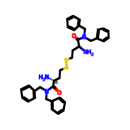 NC(CCSSCC[C@@H](N)C(=O)N(Cc1ccccc1)Cc1ccccc1)C(=O)N(Cc1ccccc1)Cc1ccccc1